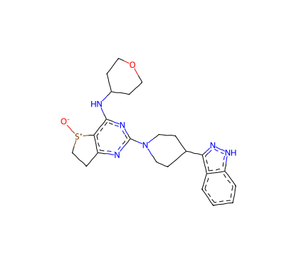 [O-][S+]1CCc2nc(N3CCC(c4n[nH]c5ccccc45)CC3)nc(NC3CCOCC3)c21